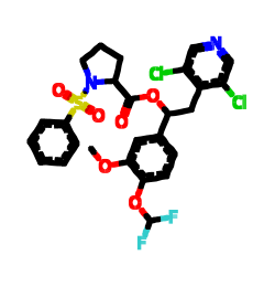 COc1cc(C(Cc2c(Cl)cncc2Cl)OC(=O)C2CCCN2S(=O)(=O)c2ccccc2)ccc1OC(F)F